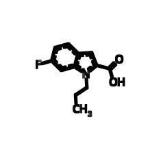 CCCn1c(C(=O)O)cc2ccc(F)cc21